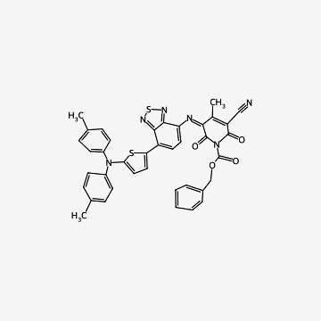 CC1=C(C#N)C(=O)N(C(=O)OCc2ccccc2)C(=O)/C1=N\c1ccc(-c2ccc(N(c3ccc(C)cc3)c3ccc(C)cc3)s2)c2nsnc12